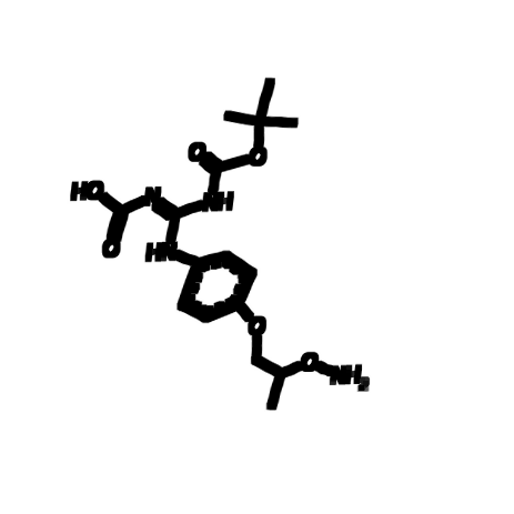 CC(COc1ccc(N/C(=N\C(=O)O)NC(=O)OC(C)(C)C)cc1)ON